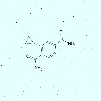 NC(=O)c1ccc(C(N)=O)c(C2CC2)c1